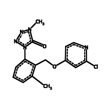 Cc1cccc(-n2nnn(C)c2=O)c1COc1ccnc(Cl)c1